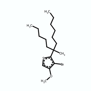 CCCCCCC(C)(CCCCC)c1scc(OC)c1Br